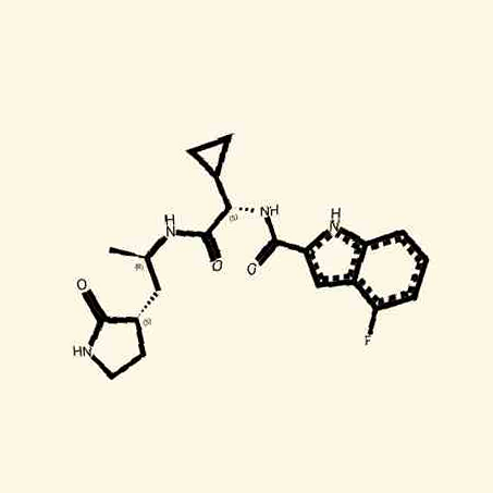 C[C@H](C[C@@H]1CCNC1=O)NC(=O)[C@@H](NC(=O)c1cc2c(F)cccc2[nH]1)C1CC1